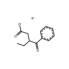 CCC(CC(=O)[O-])C(=O)c1ccccc1.[K+]